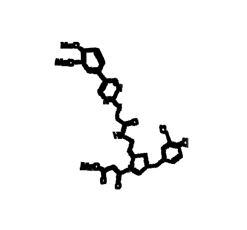 COC(=O)CC(=O)N1CC(Cc2ccc(Cl)c(Cl)c2)CC1CCNC(=O)CSc1ncc(-c2ccc(OC)c(OC)c2)cn1